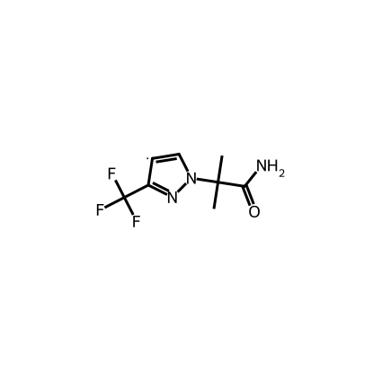 CC(C)(C(N)=O)n1c[c]c(C(F)(F)F)n1